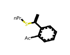 C=C(SCCC)c1ccccc1C(C)=O